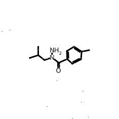 Cc1ccc(C(=O)N(N)CC(C)C)cc1